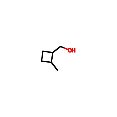 CC1CCC1CO